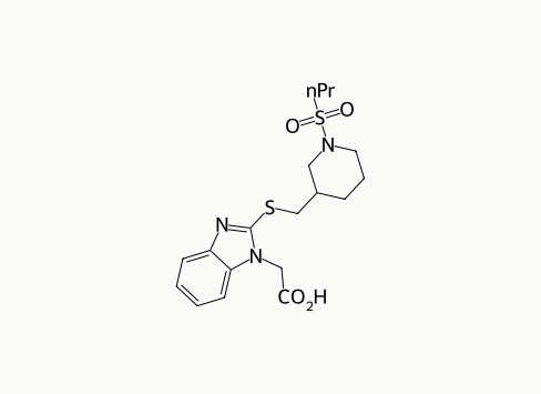 CCCS(=O)(=O)N1CCCC(CSc2nc3ccccc3n2CC(=O)O)C1